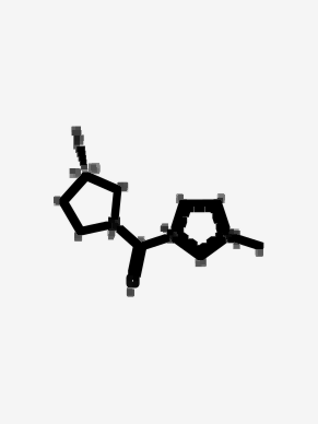 C[n+]1ccn(C(=O)N2CC[C@H](F)C2)c1